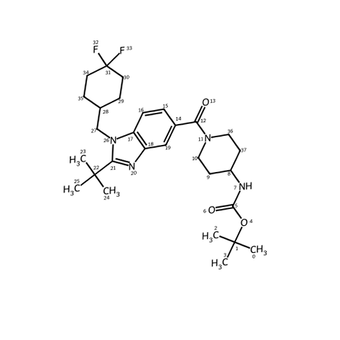 CC(C)(C)OC(=O)NC1CCN(C(=O)c2ccc3c(c2)nc(C(C)(C)C)n3CC2CCC(F)(F)CC2)CC1